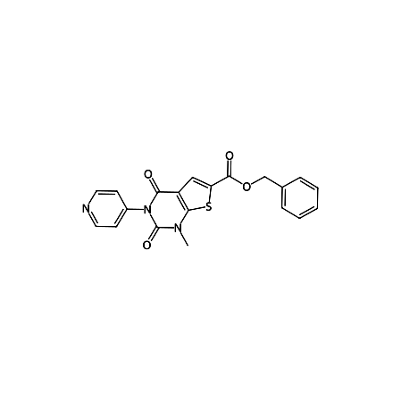 Cn1c(=O)n(-c2ccncc2)c(=O)c2cc(C(=O)OCc3ccccc3)sc21